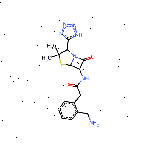 CC1(C)SC2C(NC(=O)Cc3ccccc3CN)C(=O)N2C1c1nnn[nH]1